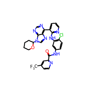 O=C(Nc1ccc(Cl)c(Nc2ncccc2-c2ncnc3c2ncn3C2CCCCO2)c1)c1cc(C(F)(F)F)ccn1